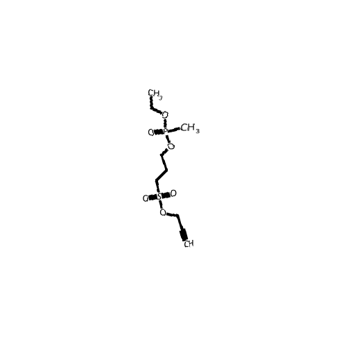 C#CCOS(=O)(=O)CCCOP(C)(=O)OCC